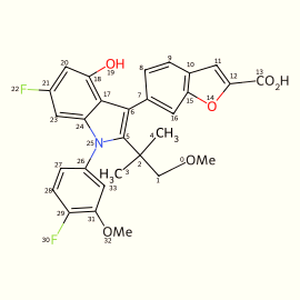 COCC(C)(C)c1c(-c2ccc3cc(C(=O)O)oc3c2)c2c(O)cc(F)cc2n1-c1ccc(F)c(OC)c1